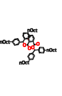 CCCCCCCCc1ccc(C(OC(=O)c2ccccc2C(=O)OC(c2ccc(CCCCCCCC)cc2)c2ccc(CCCCCCCC)cc2)c2ccc(CCCCCCCC)cc2)cc1